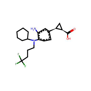 Nc1cc([C@H]2C[C@H]2C(=O)O)ccc1N(CCCC(F)(F)F)C1CCCCC1